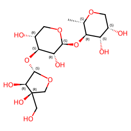 C[C@@H]1OC[C@H](O)[C@H](O)[C@H]1O[C@@H]1OC[C@@H](O)[C@H](O[C@@H]2OC[C@](O)(CO)[C@H]2O)[C@H]1O